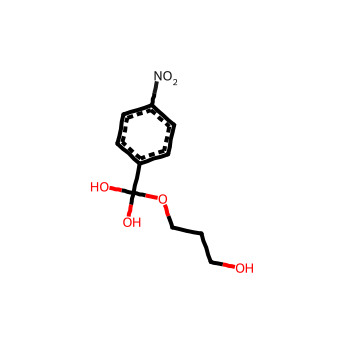 O=[N+]([O-])c1ccc(C(O)(O)OCCCO)cc1